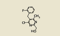 Cc1nc(CO)nc(Cl)c1Cc1ccccc1F